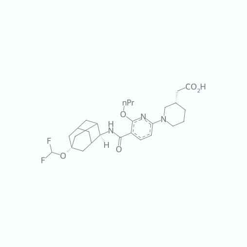 CCCOc1nc(N2CCC[C@@H](CC(=O)O)C2)ccc1C(=O)N[C@H]1C2CC3CC1C[C@](OC(F)F)(C3)C2